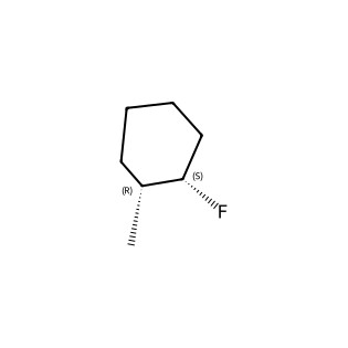 C[C@@H]1CCCC[C@@H]1F